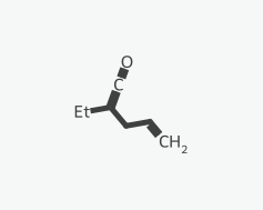 C=CCC(=C=O)CC